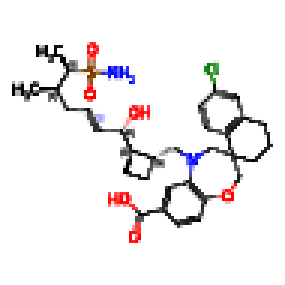 C[C@H](C/C=C/[C@H](O)[C@@H]1CC[C@H]1CN1CC2(CCCc3cc(Cl)ccc32)COc2ccc(C(=O)O)cc21)[C@@H](C)S(N)(=O)=O